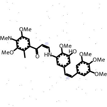 CNc1c(OC)cc(C(=O)/C=C\Nc2cc(/C=C\c3cc(OC)c(OC)c(OC)c3)cc(O)c2OC)c(C)c1OC